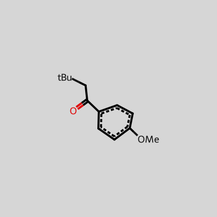 COc1ccc(C(=O)CC(C)(C)C)cc1